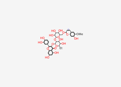 CCC1OC(Oc2c(-c3ccc(O)c(O)c3)oc3cc(O)cc(O)c3c2=O)C(OC2OC(COC(=O)/C=C\c3ccc(O)c(OC)c3)C(O)C(O)C2O)C(O)C1O